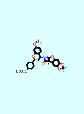 CCOC(=O)[C@H]1CC[C@@H]([C@@H]2C[C@H](NC(=O)[C@@]3(C)COc4cc5c(cc43)OC(F)(F)O5)c3ccc(OC(F)(F)F)cc3O2)CC1